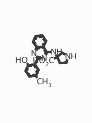 Cc1ccc(O)c(-c2nc(NC3(C(=O)O)CCNC3)c3ccccc3n2)c1